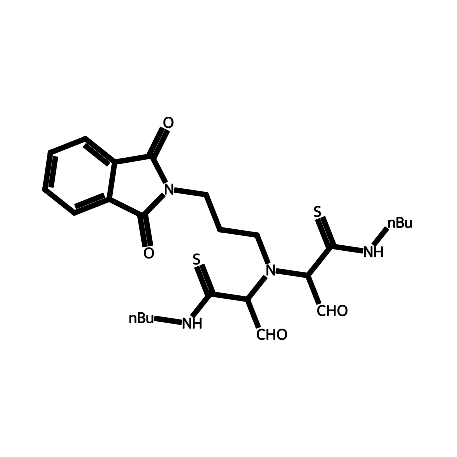 CCCCNC(=S)C(C=O)N(CCCN1C(=O)c2ccccc2C1=O)C(C=O)C(=S)NCCCC